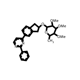 COC1C(C)OC(OC2Cc3ccc(-c4ccnc(-c5ccccc5)n4)cc3C2)C(OC)C1OC